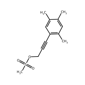 Cc1cc(C)c(C#CCOS(C)(=O)=O)cc1C